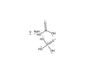 O=C(O)O.O=P(O)(O)O.[NaH].[V]